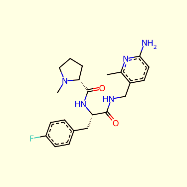 Cc1nc(N)ccc1CNC(=O)[C@H](Cc1ccc(F)cc1)NC(=O)[C@H]1CCCN1C